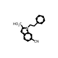 N#Cc1ccc2cc(C(=O)O)n(CCc3ccccc3)c2c1